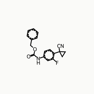 N#CC1(c2ccc(NC(=O)OCc3ccccc3)cc2F)CC1